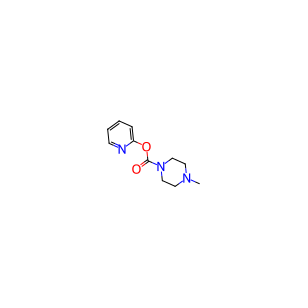 CN1CCN(C(=O)Oc2ccccn2)CC1